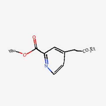 CCOC(=O)Cc1ccnc(C(=O)OC(C)(C)C)c1